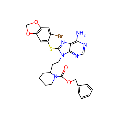 Nc1ncnc2c1nc(Sc1cc3c(cc1Br)OCO3)n2CCC1CCCCN1C(=O)OCc1ccccc1